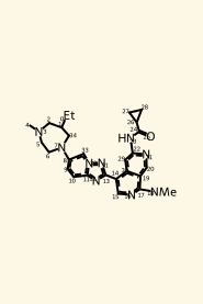 CCC1CN(C)CCN(c2ccc3nc(-c4cnc(NC)c5cnc(NC(=O)C6CC6)cc45)nn3c2)C1